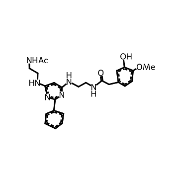 COc1ccc(CC(=O)NCCNc2cc(NCCNC(C)=O)nc(-c3ccccc3)n2)cc1O